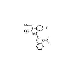 N=Cc1c(O)nc(OCc2ccccc2OC(F)F)c2cc(F)ccc12